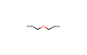 CC(=O)NCOCNC(C)=O